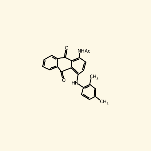 CC(=O)Nc1ccc(Nc2ccc(C)cc2C)c2c1C(=O)c1ccccc1C2=O